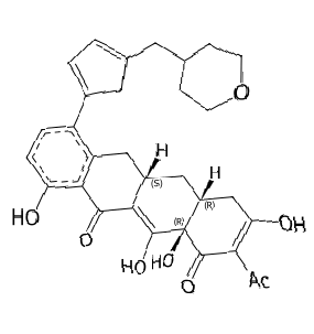 CC(=O)C1=C(O)C[C@H]2C[C@H]3Cc4c(C5=CC=C(CC6CCOCC6)C5)ccc(O)c4C(=O)C3=C(O)[C@@]2(O)C1=O